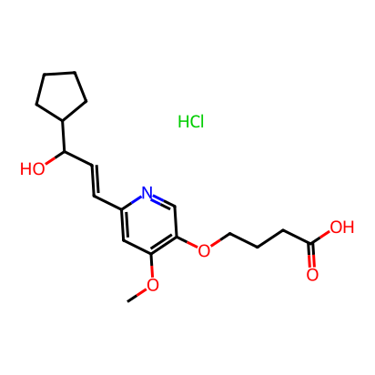 COc1cc(C=CC(O)C2CCCC2)ncc1OCCCC(=O)O.Cl